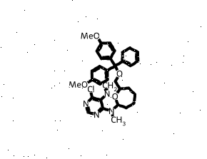 C=Nc1c(Cl)ncnc1N(C)C1CCCCC(COC(C2=CC=CCC2)(c2ccc(OC)cc2)c2ccc(OC)cc2)O1